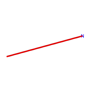 C#CC#CC#CC#CC#CC#CC#CC#CC#CC#CC#CC#CC#CC#CC#CC#CC#CC#CC#CC#CC#CC#CC#CC#CC#CC#CC#CC#CC#CC#CC#CC#CC#CC#CC#CC#CC#CC#CC#CC#CC#CC#CC#CC#CC#CC#CC#CC#CC#CC#CC#CC#CC#CC#CC#CC#CC#CC#CC#CC#CC#CC#N